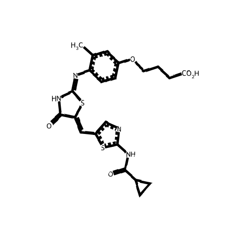 Cc1cc(OCCCC(=O)O)ccc1/N=C1/NC(=O)/C(=C/c2cnc(NC(=O)C3CC3)s2)S1